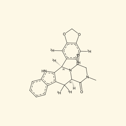 [2H]c1c([2H])c([C@]2([2H])c3[nH]c4ccccc4c3C([2H])([2H])[C@@H]3C(=O)N(C)CC(=O)N32)c([2H])c2c1OCO2